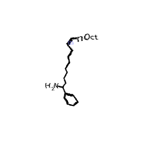 CCCCCCCC/C=C\CCCCCCCC(N)c1ccccc1